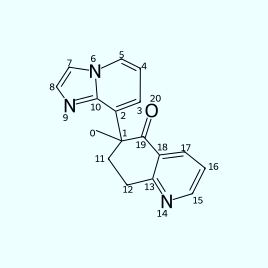 CC1(c2cccn3ccnc23)CCc2ncccc2C1=O